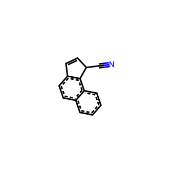 N#CC1C=Cc2ccc3ccccc3c21